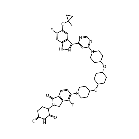 CC1(Oc2cc3c(-c4cc(N5CCC(O[C@H]6CC[C@H](OC7CCN(c8ccc9c(c8F)CN(C8CCC(=O)NC8=O)C9=O)CC7)CC6)CC5)ncn4)n[nH]c3cc2F)CC1